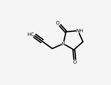 C#CCN1C(=O)CNC1=O